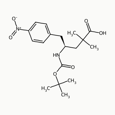 CC(C)(C)OC(=O)N[C@@H](Cc1ccc([N+](=O)[O-])cc1)CC(C)(C)C(=O)O